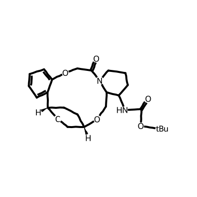 CC(C)(C)OC(=O)NC1CCCN2C(=O)COc3ccccc3[C@H]3CC[C@H](CC3)OCC12